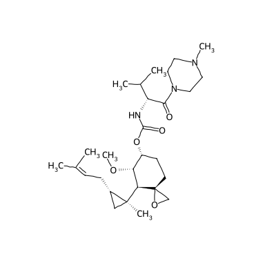 CO[C@@H]1[C@H](OC(=O)N[C@@H](C(=O)N2CCN(C)CC2)C(C)C)CC[C@]2(CO2)[C@H]1[C@@]1(C)C[C@@H]1CC=C(C)C